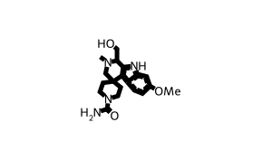 COc1ccc2c3c([nH]c2c1)C(CO)N(C)CC31CCN(C(N)=O)CC1